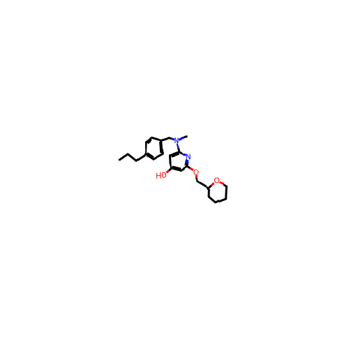 CCCc1ccc(CN(C)c2cc(O)cc(OCC3CCCCO3)n2)cc1